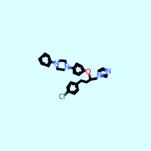 Clc1ccc(CCC(Cn2ccnc2)Oc2ccc(N3CCN(c4ccccc4)CC3)cc2)cc1